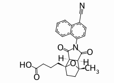 C[C@@]12CC[C@@](CCCC(=O)O)(O1)[C@H]1C(=O)N(c3ccc(C#N)c4ccccc34)C(=O)[C@H]12